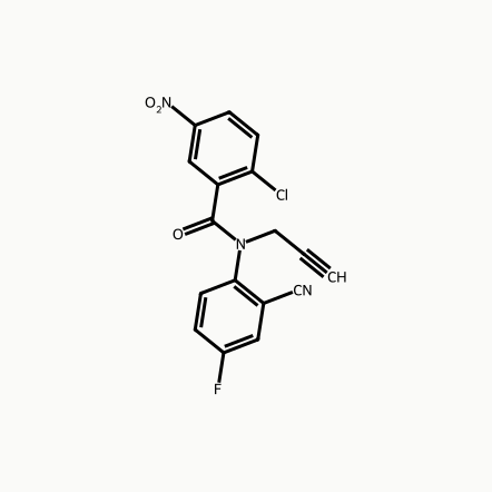 C#CCN(C(=O)c1cc([N+](=O)[O-])ccc1Cl)c1ccc(F)cc1C#N